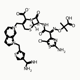 CC(C)(ON=C(C(=O)N[C@@H]1C(=O)N2C(C(=O)[O-])=C(C[n+]3ccc4ccn(Cc5cc(C(=N)N)cs5)c4c3)CS[C@H]12)c1nc(N)sc1Cl)C(=O)O